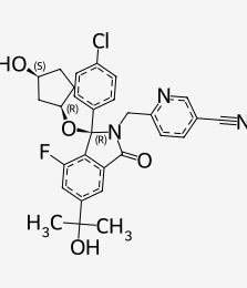 CC(C)(O)c1cc(F)c2c(c1)C(=O)N(Cc1ccc(C#N)cn1)[C@@]2(O[C@@H]1CC[C@H](O)C1)c1ccc(Cl)cc1